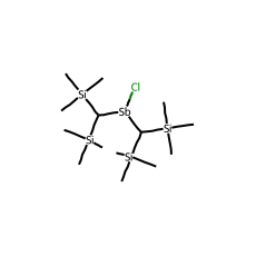 C[Si](C)(C)[CH]([Sb]([Cl])[CH]([Si](C)(C)C)[Si](C)(C)C)[Si](C)(C)C